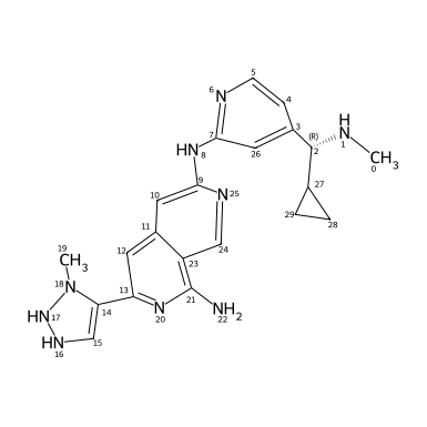 CN[C@@H](c1ccnc(Nc2cc3cc(C4=CNNN4C)nc(N)c3cn2)c1)C1CC1